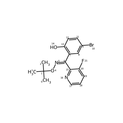 CC(C)(C)O/N=C(/c1cc(Br)ccc1O)c1ncccc1F